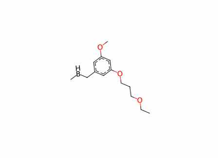 CBCc1cc(OC)cc(OCCCOCC)c1